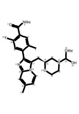 CNC(=O)c1cc(C)c(-c2nc3cc(C)ccn3c2C[C@H]2CN(C(O)OC)CCO2)cc1F